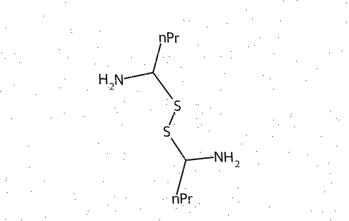 CCCC(N)SSC(N)CCC